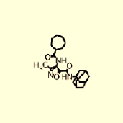 Cc1noc(C(=O)NC23CC4CC(CC(C4)C2)C3)c1NC(=O)C1CCCCCC1